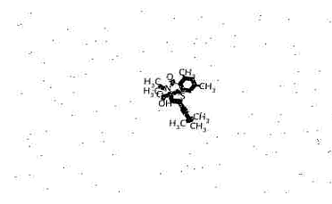 CC(C)N(C(=O)[C@H]1CC[C@H](C)C[C@@H]1C)C1(C(=O)O)C=C(C#CC(C)(C)C)SC1